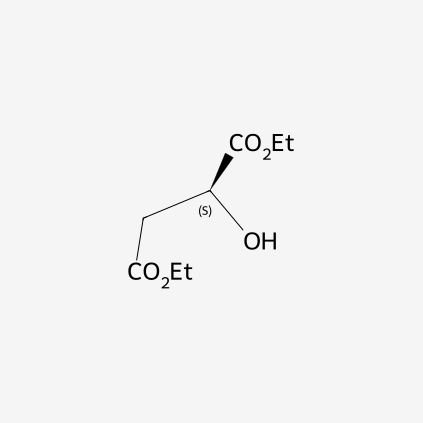 CCOC(=O)C[C@H](O)C(=O)OCC